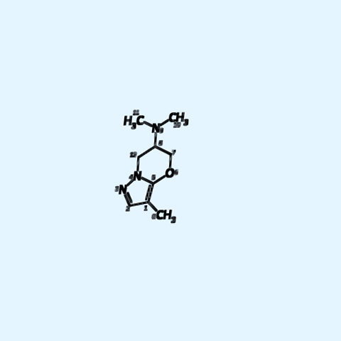 Cc1cnn2c1OCC(N(C)C)C2